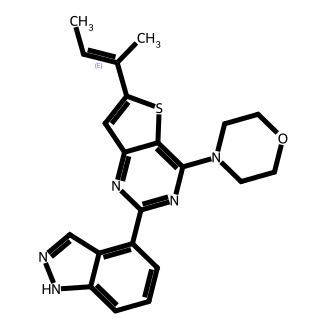 C/C=C(\C)c1cc2nc(-c3cccc4[nH]ncc34)nc(N3CCOCC3)c2s1